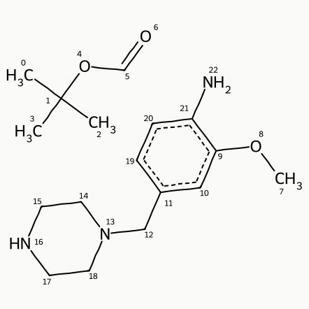 CC(C)(C)OC=O.COc1cc(CN2CCNCC2)ccc1N